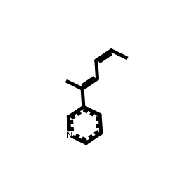 C/C=C\C=C(/C)c1cccnc1